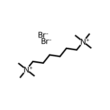 C[N+](C)(C)CCCCCC[N+](C)(C)C.[Br-].[Br-]